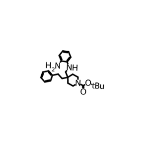 CC(C)(C)OC(=O)N1CCC(CCc2ccccc2)(CNc2ccccc2N)CC1